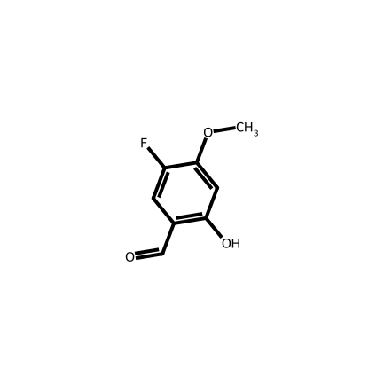 COc1cc(O)c(C=O)cc1F